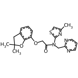 Cc1csc(N(Cc2ncccn2)C(=O)COc2cccc3c2OC(C)(C)C3)n1